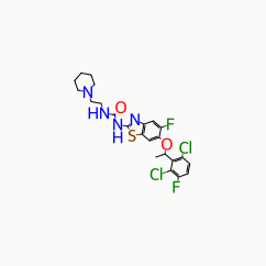 CC(Oc1cc2sc(NC(=O)NCCN3CCCCC3)nc2cc1F)c1c(Cl)ccc(F)c1Cl